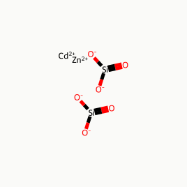 O=[Si]([O-])[O-].O=[Si]([O-])[O-].[Cd+2].[Zn+2]